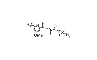 COc1cc(C)nc(NCCNC(=O)/C=C/C(C)(F)F)c1